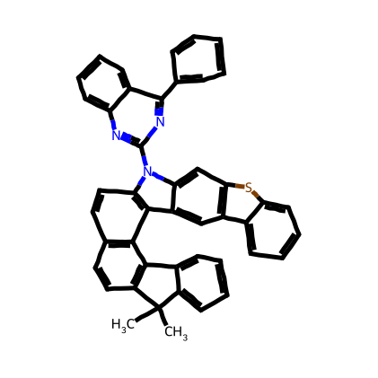 CC1(C)c2ccccc2-c2c1ccc1ccc3c(c4cc5c(cc4n3-c3nc(-c4ccccc4)c4ccccc4n3)sc3ccccc35)c21